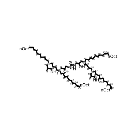 CCCCCCCC/C=C\CCCCCCCCN(CCCCN(CCCCCCCC/C=C\CCCCCCCC)CC(O)CNC(=O)NCC(O)CN(CCCCCCCC/C=C\CCCCCCCC)CCCCN(CCCCCCCC/C=C\CCCCCCCC)CC(C)CN)CC(C)CN